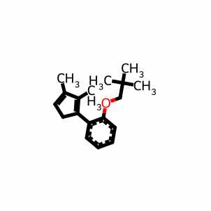 CC1=CCC(c2ccccc2OCC(C)(C)C)=C1C